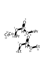 CCCO[PH](=O)OCCC.CCO[PH](=O)OCC.[Co].[Co]